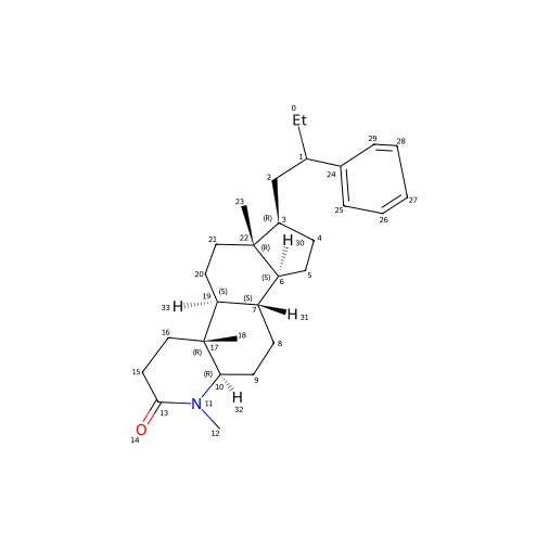 CCC(C[C@H]1CC[C@H]2[C@@H]3CC[C@H]4N(C)C(=O)CC[C@]4(C)[C@H]3CC[C@]12C)c1ccccc1